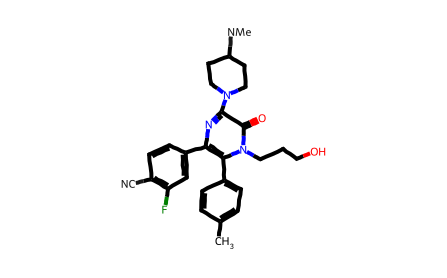 CNC1CCN(c2nc(-c3ccc(C#N)c(F)c3)c(-c3ccc(C)cc3)n(CCCO)c2=O)CC1